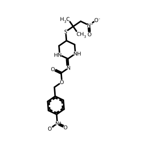 CC(C)(C[N+](=O)[O-])SC1CNC(=NC(=O)OCc2ccc([N+](=O)[O-])cc2)NC1